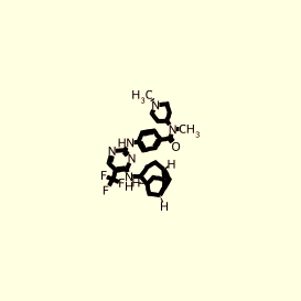 CN1CCC(N(C)C(=O)c2ccc(Nc3ncc(C(F)(F)F)c(NC4CC[C@H]5C[C@H]6CC5C[C@H]4C6)n3)cc2)CC1